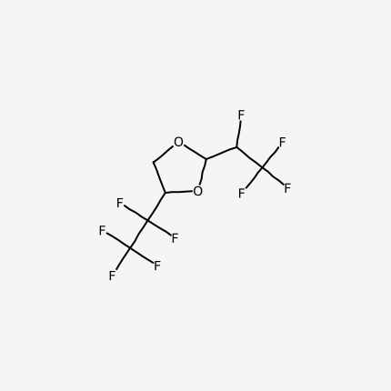 FC(C1OCC(C(F)(F)C(F)(F)F)O1)C(F)(F)F